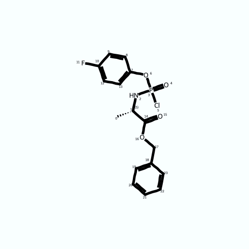 C[C@H](NP(=O)(Cl)Oc1ccc(F)cc1)C(=O)OCc1ccccc1